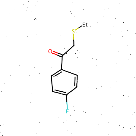 CCSCC(=O)c1ccc(F)cc1